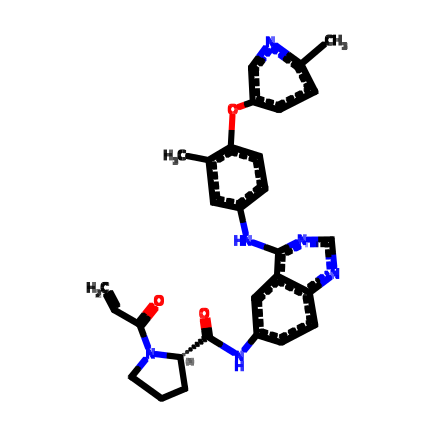 C=CC(=O)N1CCC[C@H]1C(=O)Nc1ccc2ncnc(Nc3ccc(Oc4ccc(C)nc4)c(C)c3)c2c1